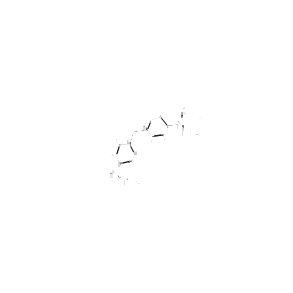 CCCCN(CCCC)c1ccc(Cc2ccc(N(CCCC)CCCC)cc2)cc1